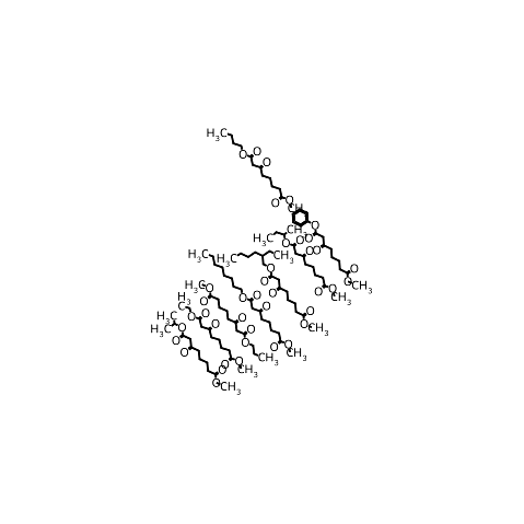 CCC(C)OC(=O)CC(=O)CCCCC(=O)OC.CCCCC(CC)COC(=O)CC(=O)CCCCC(=O)OC.CCCCCCCCOC(=O)CC(=O)CCCCC(=O)OC.CCCCOC(=O)CC(=O)CCCCC(=O)OC.CCCOC(=O)CC(=O)CCCCC(=O)OC.CCOC(=O)CC(=O)CCCCC(=O)OC.COC(=O)CCCCC(=O)CC(=O)OC(C)C.COC(=O)CCCCC(=O)CC(=O)Oc1ccccc1